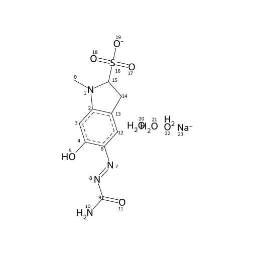 CN1c2cc(O)c(N=NC(N)=O)cc2CC1S(=O)(=O)[O-].O.O.O.[Na+]